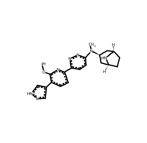 CC(C)Oc1nc(-c2ccc(N(C)[C@H]3C[C@H]4CC[C@@H](C3)N4)nn2)ccc1-c1cn[nH]c1